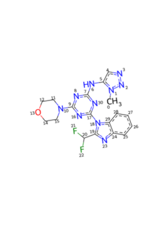 Cn1nncc1Nc1nc(N2CCOCC2)nc(-n2c(C(F)F)nc3ccccc32)n1